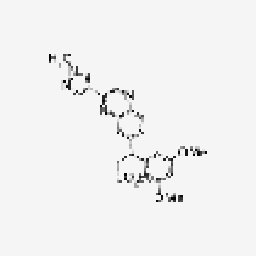 CCOC(=O)CC(c1cc(OC)cc(OC)c1)c1ccc2ncc(-c3cnn(C)c3)nc2c1